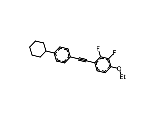 CCOc1ccc(C#Cc2ccc(C3CCCCC3)cc2)c(F)c1F